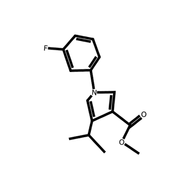 COC(=O)c1cn(-c2cccc(F)c2)cc1C(C)C